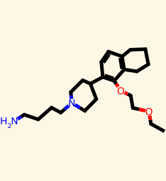 CCOCCOc1c(C2CCN(CCCCN)CC2)ccc2c1CCCC2